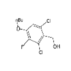 CCCCOc1cc(Cl)c(CO)c(Cl)c1F